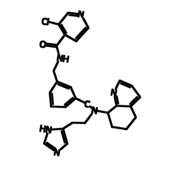 O=C(NCc1cccc(CN(CCc2cnc[nH]2)C2CCCc3cccnc32)c1)c1ccncc1Cl